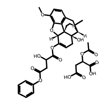 CC(=O)OC(CC(=O)O)C(=O)O.COc1ccc2c3c1O[C@H]1C(OC(=O)C(O)CC(=O)Oc4ccccc4)=CC[C@@]4(O)[C@@H](C2)N(C)CC[C@]314